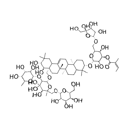 C/C=C(/C)C(=O)O[C@H]1C(O)[C@H](O[C@H]2CC[C@@]3(C)C(CC[C@]4(C)C3CC=C3C5CC(C)(C)[C@@H](O)[C@H](O)[C@]5(CO[C@@H]5OC(C)(CO[C@@H]6OC(CO)[C@@H](O)[C@@H](O)C6O)[C@@H](O)C(O)(O)C5O[C@@H]5OC(C)[C@H](O)[C@H](O)C5O)CC[C@]34C)C2(C)C)OC(CO[C@@H]2O[C@](O)(CO)C(O)[C@@H]2O)[C@H]1O